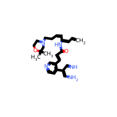 C=C/C=C(\C=C/CCN1CCOC(C)(C)C1)NC(=O)/C=C/c1cnccc1/C(C=N)=C/N